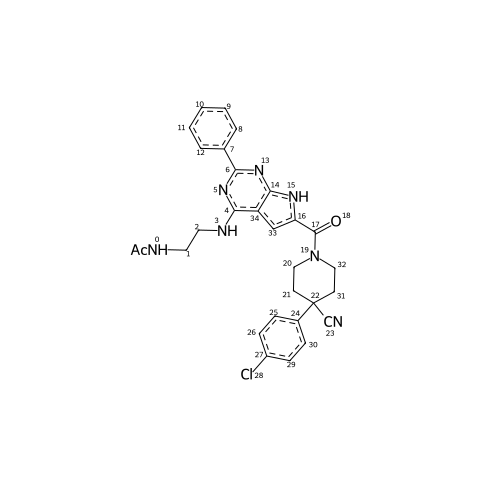 CC(=O)NCCNc1nc(-c2ccccc2)nc2[nH]c(C(=O)N3CCC(C#N)(c4ccc(Cl)cc4)CC3)cc12